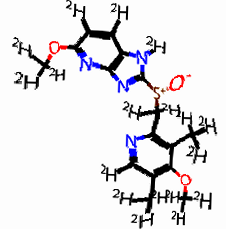 [2H]c1nc(C([2H])([2H])[S+]([O-])c2nc3nc(OC([2H])([2H])[2H])c([2H])c([2H])c3n2[2H])c(C([2H])([2H])[2H])c(OC([2H])([2H])[2H])c1C([2H])([2H])[2H]